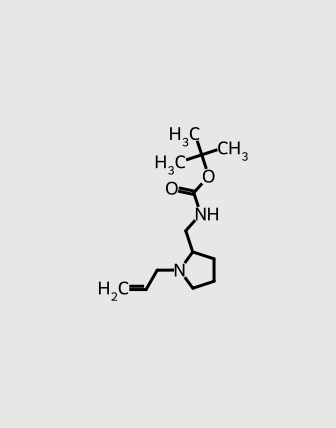 C=CCN1CCCC1CNC(=O)OC(C)(C)C